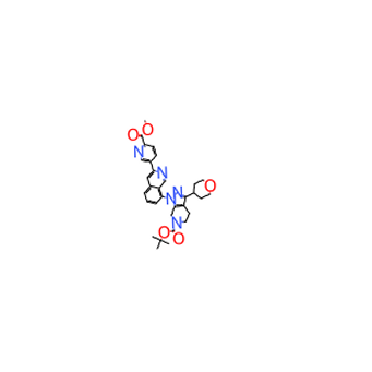 COC(=O)c1ccc(-c2cc3cccc(-n4nc(C5CCOCC5)c5c4CN(C(=O)OC(C)(C)C)CC5)c3cn2)cn1